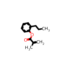 C=C(C)C(=O)Oc1ccccc1CCC